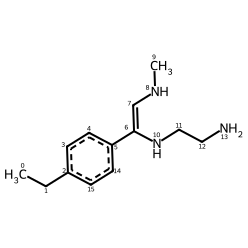 CCc1ccc(/C(=C/NC)NCCN)cc1